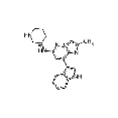 Cc1cn2nc(N[C@@H]3CCCNC3)cc(-c3c[nH]c4ccccc34)c2n1